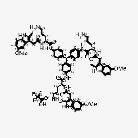 COc1ccc2[nH]c(C)c(CC(=O)N[C@@H](CCCN)C(=O)Nc3ccc(C(c4ccc(NC(=O)[C@H](CCCN)NC(=O)Cc5c(C)[nH]c6ccc(OC)cc56)cc4)c4ccc(NC(=O)[C@H](CCCN)NC(=O)Cc5c(C)[nH]c6ccc(OC)cc56)cc4)cc3)c2c1.O=C(O)C(F)(F)F